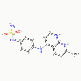 COc1ccc2c(Nc3ccc(NS(N)(=O)=O)cc3)ccnc2n1